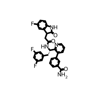 NC(=O)c1cccc(-c2cccnc2[C@H](Cc2cc(F)cc(F)c2)NC(=O)CC2C(=O)Nc3ccc(F)cc32)c1